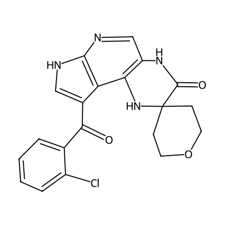 O=C(c1ccccc1Cl)c1c[nH]c2ncc3c(c12)NC1(CCOCC1)C(=O)N3